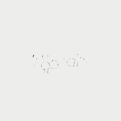 O=C(NO)c1cnc2ccc(Oc3ccnc(NC(=O)C4CC4)c3)cc2c1C(F)(F)F